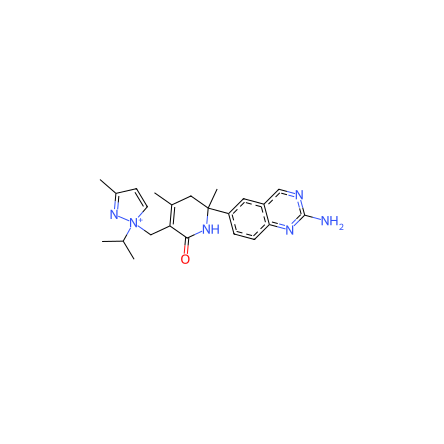 CC1=N[N+](CC2=C(C)CC(C)(c3ccc4nc(N)ncc4c3)NC2=O)(C(C)C)C=C1